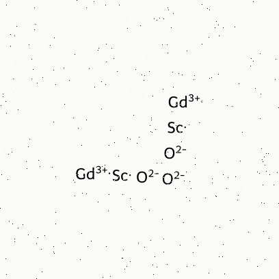 [Gd+3].[Gd+3].[O-2].[O-2].[O-2].[Sc].[Sc]